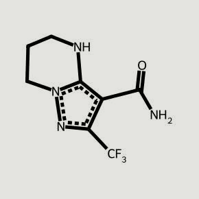 NC(=O)c1c(C(F)(F)F)nn2c1NCCC2